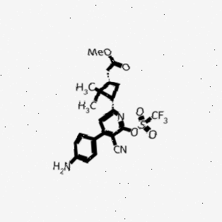 COC(=O)C[C@@H]1C[C@H](c2cc(-c3ccc(N)cc3)c(C#N)c(OS(=O)(=O)C(F)(F)F)n2)C1(C)C